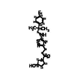 CC(C)(CNc1nc(CCC(=O)N2CC[C@@H](O)C2)ns1)c1ccc(F)cc1